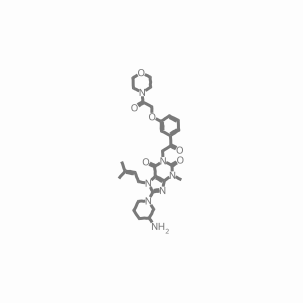 CC(C)=CCn1c(N2CCCC(N)C2)nc2c1c(=O)n(CC(=O)c1cccc(OCC(=O)N3CCOCC3)c1)c(=O)n2C